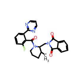 CC1CCCN(C(=O)c2c(F)cccc2-c2ncccn2)C1CN1C(=O)c2ccccc2C1=O